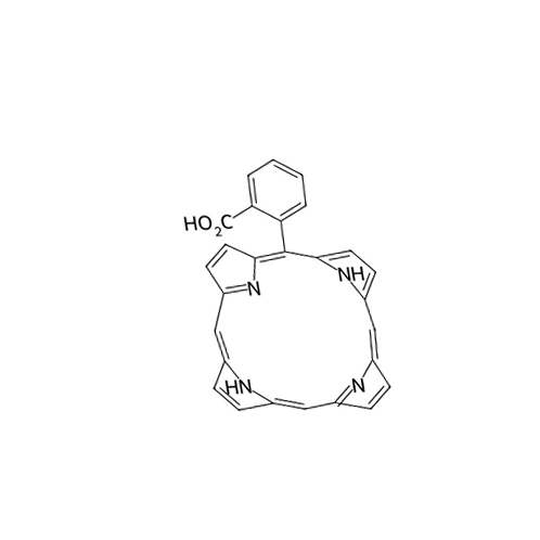 O=C(O)c1ccccc1-c1c2nc(cc3ccc(cc4nc(cc5ccc1[nH]5)C=C4)[nH]3)C=C2